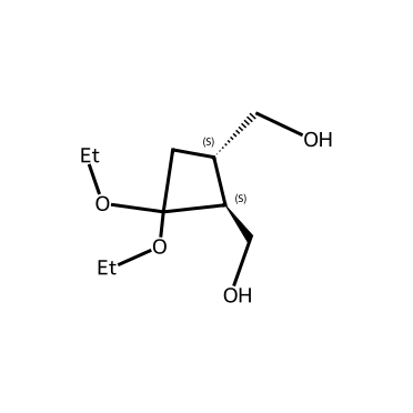 CCOC1(OCC)C[C@H](CO)[C@H]1CO